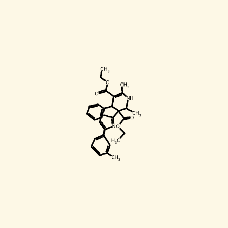 CCOC(=O)C1=C(C)NC(C)C(C(=O)OCC)(c2nc(-c3cccc(C)c3)cs2)C1c1ccccc1